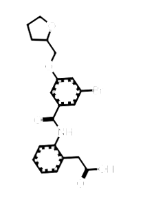 O=C(O)Cc1ccccc1NC(=O)c1cc(Br)cc(OCC2CCCO2)c1